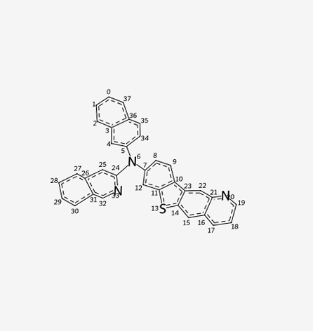 c1ccc2cc(N(c3ccc4c(c3)sc3cc5cccnc5cc34)c3cc4ccccc4cn3)ccc2c1